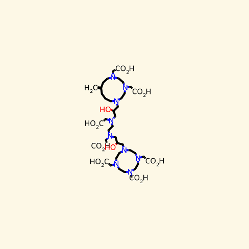 C=C1CCCN(CC(O)CN(CCN(CC(=O)O)CC(O)CN2CCN(CC(=O)O)CCN(C(=O)O)CCN(CC(=O)O)CC2)CC(=O)O)CCN(CC(=O)O)CCN(CC(=O)O)CC1